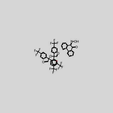 O=C1C(=NO)c2ccccc2-c2ccccc21.O=CC(OC(C=O)(c1ccc(C(F)(F)F)cc1)c1ccc(C(F)(F)F)cc1)(c1ccc(C(F)(F)F)cc1)c1ccc(C(F)(F)F)cc1